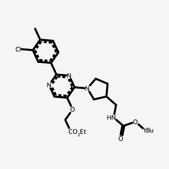 CCOC(=O)COc1cnc(-c2ccc(C)c(Cl)c2)nc1N1CCC(CNC(=O)OC(C)(C)C)C1